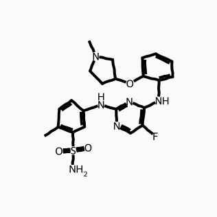 Cc1ccc(Nc2ncc(F)c(Nc3ccccc3OC3CCN(C)C3)n2)cc1S(N)(=O)=O